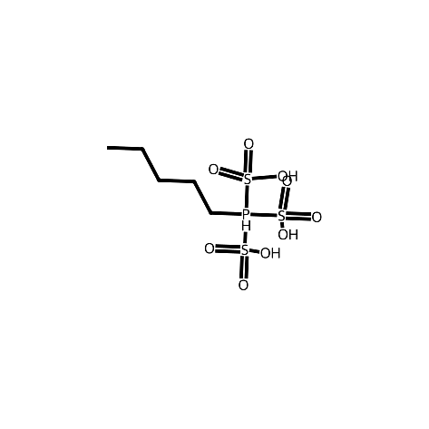 CCCCC[PH](S(=O)(=O)O)(S(=O)(=O)O)S(=O)(=O)O